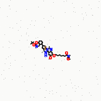 COc1cc2c(N[C@H](C)c3cc(-c4ccccc4CN(C)C(=O)OC(C)(C)C)cs3)nc(C)nc2cc1OCCCCCCC(=O)N(C)OC